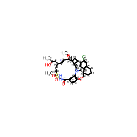 CO[C@H]1/C=C/[C@H](C[C@H](C)O)C[C@@H](C)S(=O)(=O)NC(=O)c2ccc3c(c2)N(C[C@@H]2CC[C@H]21)C[C@@]1(CCCc2cc(Cl)ccc21)CO3